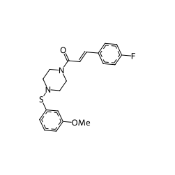 COc1cccc(SN2CCN(C(=O)/C=C/c3ccc(F)cc3)CC2)c1